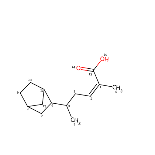 CC(=CCC(C)C1CC2CCC1C2)C(=O)O